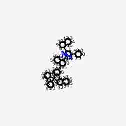 c1ccc(-c2cc(-c3cccc4ccccc34)nc(-c3ccc(-c4ccc5c(c4)-c4c(ccc6ccccc46)C5(c4ccccc4)c4ccccc4)c4ccccc34)n2)cc1